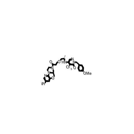 COc1ccc(Cn2ncc(N[C@@H](C)COCCC(=O)N3CCN4c5ncc(C(C)C)cc5OCC4C3)c(C(F)(F)F)c2=O)cc1